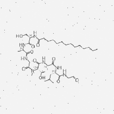 CCCCCCCCCCCCCC(=O)N[C@H](CO)C(=O)N[C@H](C)C(=O)NCC(=O)N(C)[C@H](C(=O)N[C@@H](C)C(=O)N[C@@H](CC(C)C)C(=O)NCC=O)C(C)O